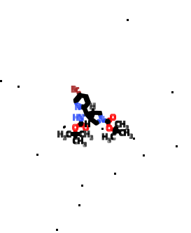 CC(C)(C)OC(=O)N[C@]1(c2ccc(Br)cn2)[C@@H]2CN(C(=O)OC(C)(C)C)C[C@@H]21